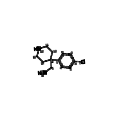 NCC1(c2ccc(Cl)cc2)CCNCC1